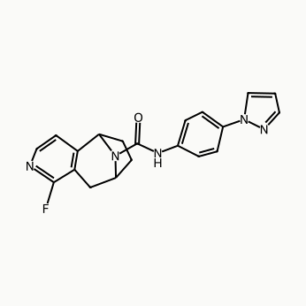 O=C(Nc1ccc(-n2cccn2)cc1)N1C2CCC1c1ccnc(F)c1C2